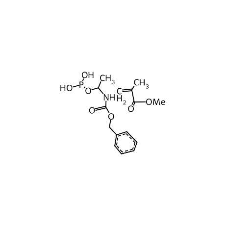 C=C(C)C(=O)OC.CC(NC(=O)OCc1ccccc1)OP(O)O